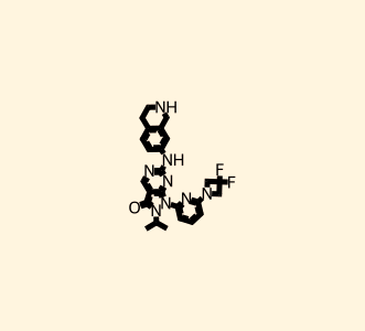 CC(C)n1c(=O)c2cnc(Nc3ccc4c(c3)CNCC4)nc2n1-c1cccc(N2CC(F)(F)C2)n1